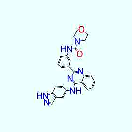 O=C(Nc1cccc(-c2nc(Nc3ccc4[nH]ncc4c3)c3ccccc3n2)c1)N1CCOCC1